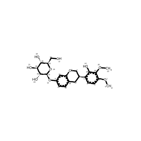 COc1ccc([C@@H]2COc3cc(O[C@@H]4O[C@H](CO)[C@@H](O)[C@H](O)[C@H]4O)ccc3C2)c(O)c1OC